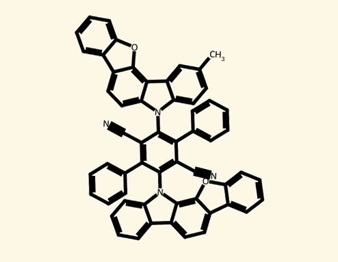 Cc1ccc2c(c1)c1c3oc4ccccc4c3ccc1n2-c1c(C#N)c(-c2ccccc2)c(-n2c3ccccc3c3ccc4c5ccccc5oc4c32)c(C#N)c1-c1ccccc1